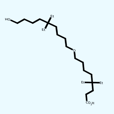 CCC(CC)(CCCCO)CCCCOCCCCC(CC)(CC)CCC(=O)O